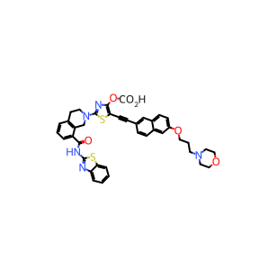 O=C(O)Oc1nc(N2CCc3cccc(C(=O)Nc4nc5ccccc5s4)c3C2)sc1C#Cc1ccc2cc(OCCCN3CCOCC3)ccc2c1